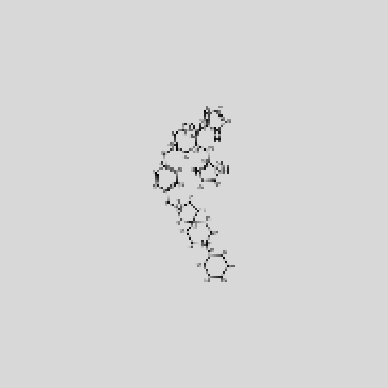 O=C(O)CN(Cc1ccc(CN2CCC3(CCN(C4CCCCC4)CC3)C2)cc1)CC(Cc1ncc[nH]1)Cc1ncc[nH]1